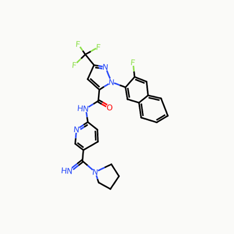 N=C(c1ccc(NC(=O)c2cc(C(F)(F)F)nn2-c2cc3ccccc3cc2F)nc1)N1CCCC1